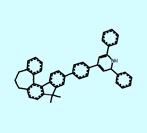 CC1(C)c2cc(-c3ccc(C4=CC(c5ccccc5)NC(c5ccccc5)=C4)cc3)ccc2-c2c1ccc1c2-c2ccccc2CCC1